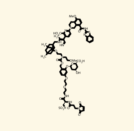 COCCN(CCOC12CC3(C)CC(C)(CC(CN/C(C)=C(\C=N)c4ccc(N5CCc6c(OC)ccc(C(=O)Nc7nc8ccccc8s7)c6C5)nc4C(=O)O)(C3)C1)C2)C(=O)OCc1ccc(OCCOCCNC(=O)[C@H](CS(=O)(=O)O)NC(=O)CCN2C(=O)C=CC2=O)cc1O[C@H]1C[C@@H](O)C[C@@H](C(=O)O)O1